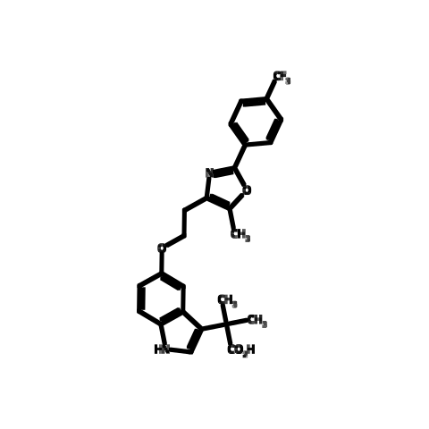 Cc1oc(-c2ccc(C(F)(F)F)cc2)nc1CCOc1ccc2[nH]cc(C(C)(C)C(=O)O)c2c1